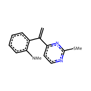 C=C(c1ccnc(SC)n1)c1ccccc1NC